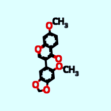 COc1ccc2c(=O)c(-c3cc4c(cc3OC)OCO4)coc2c1